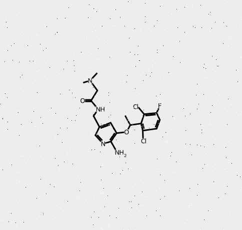 CC(Oc1cc(CNC(=O)CN(C)C)cnc1N)c1c(Cl)ccc(F)c1Cl